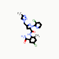 Cc1cc(Cl)cc(C(N)=O)c1NC(=O)c1cc(Cn2cc(C(F)(F)F)nn2)nn1-c1ncccc1Cl